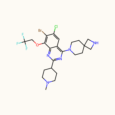 CN1CCC(c2nc(N3CCC4(CC3)CNC4)c3cc(Cl)c(Br)c(OCC(F)(F)F)c3n2)CC1